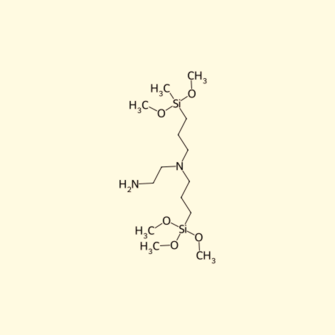 CO[Si](C)(CCCN(CCN)CCC[Si](OC)(OC)OC)OC